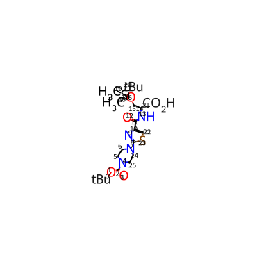 CC(C)(C)OC(=O)N1CCN(c2nc(C(=O)N[C@@H](CO[Si](C)(C)C(C)(C)C)C(=O)O)cs2)CC1